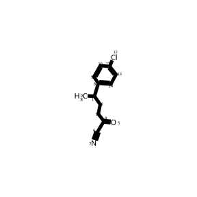 CC(CCC(=O)C#N)c1ccc(Cl)cc1